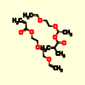 C=COCCOC(C)OC(=O)C(=C)C.C=COCCOCCOC(=O)C=C